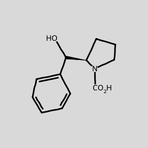 O=C(O)N1CCC[C@@H]1C(O)c1ccccc1